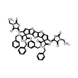 CCN1C(=O)/C(=N/C2=Cc3sc4c(sc5c6c(sc54)C=C(/N=C4\SC(=S)N(CC)C4=O)C6(C(=O)OCc4ccccc4)C(=O)OCc4ccccc4)c3C2(C(=O)OCc2ccccc2)C(=O)OCc2ccccc2)SC1=S